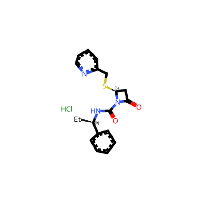 CC[C@@H](NC(=O)N1C(=O)C[C@@H]1SCc1ccccn1)c1ccccc1.Cl